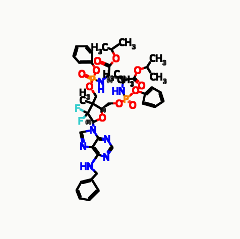 CC(C)OC(=O)[C@H](C)NP(=O)(OC[C@H]1O[C@@H](n2cnc3c(NCc4ccccc4)ncnc32)C(F)(F)C1(C)COP(=O)(N[C@@H](C)C(=O)OC(C)C)Oc1ccccc1)Oc1ccccc1